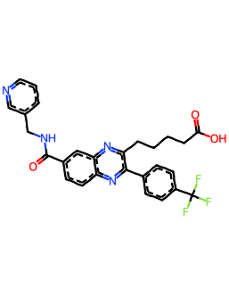 O=C(O)CCCCc1nc2cc(C(=O)NCc3cccnc3)ccc2nc1-c1ccc(C(F)(F)F)cc1